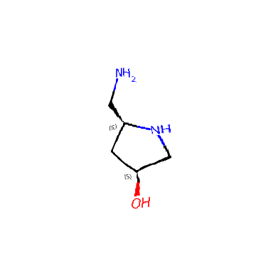 NC[C@@H]1C[C@H](O)CN1